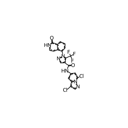 O=C(Nc1cc(Cl)n2ncc(Cl)c2c1)c1cnn(-c2cccc3c(=O)[nH]ccc23)c1C(F)(F)F